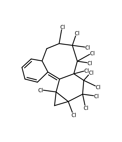 ClC1CC2C=CC=C/C2=C2\C3(Cl)CC3(Cl)C(Cl)(Cl)C(Cl)(Cl)C2(Cl)C(Cl)(Cl)C1(Cl)Cl